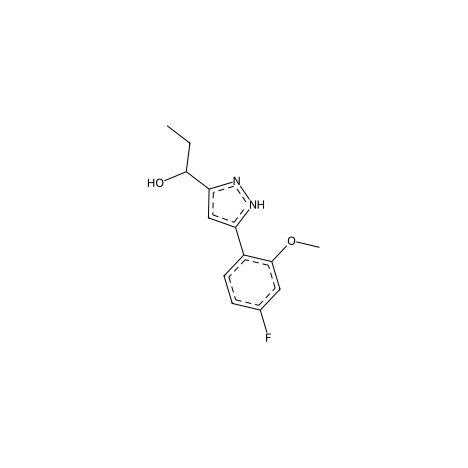 CCC(O)c1cc(-c2ccc(F)cc2OC)[nH]n1